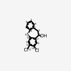 OC1Cc2ccccc2Sc2cc(Cl)c(Cl)cc21